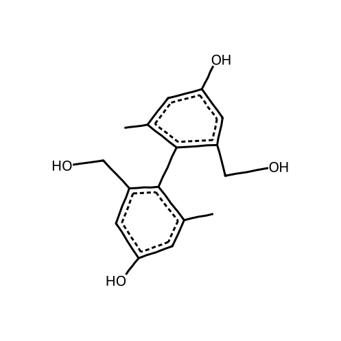 Cc1cc(O)cc(CO)c1-c1c(C)cc(O)cc1CO